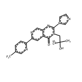 CC(C)(O)Cn1c(-n2ccnc2)nc2cnc(-c3ccc(C(F)(F)F)cn3)cc2c1=O